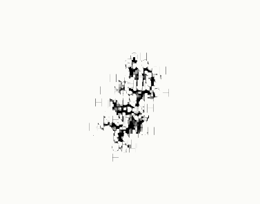 CNC(=O)[C@H](CC(=O)O)NC(=O)[C@H](C)NC(=O)[C@H](CO)NC(=O)[C@H](CCCNC(=N)N)NC(=O)[C@H](CCCNC(=N)N)NC(=O)[C@H](CCCCN)NC(=O)[C@H](C)NC(=O)[C@H](CCCNC(=N)N)NC(=O)[C@H](CO)NC